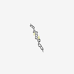 Cc1ccc2cc(-c3ccc4sc5c6cc7ccc8c9cc(-c%10ccc%11cc(C)ccc%11c%10)ccc9sc8c7cc6ccc5c4c3)ccc2c1